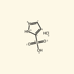 Cl.O=S(=O)(O)c1ccn[nH]1